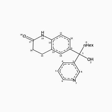 CCCCCCC(O)(c1cccnc1)c1ccc2c(c1)CCC(=O)N2